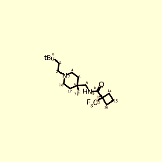 CC(C)(C)CCN1CCC(F)(CNC(=O)C2(C(F)(F)F)CCC2)CC1